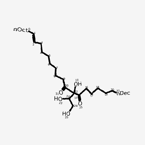 CCCCCCCCC=CCCCCCCCC(=O)C(O)(C(=O)CCCCCCCCCCCCCCC)C(O)CO